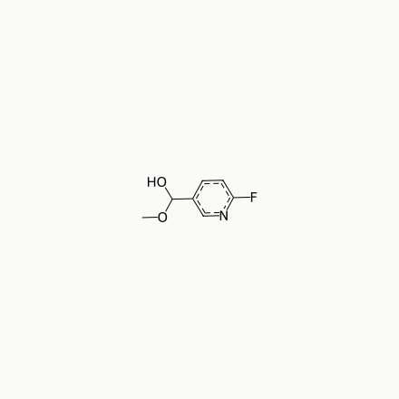 COC(O)c1ccc(F)nc1